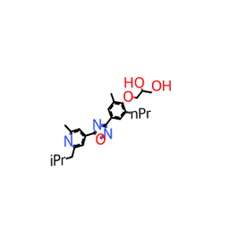 CCCc1cc(-c2noc(-c3cc(C)nc(CC(C)C)c3)n2)cc(C)c1OCC(O)CO